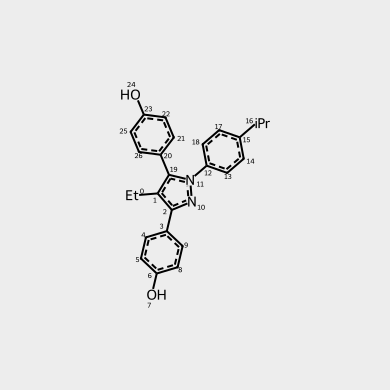 CCc1c(-c2ccc(O)cc2)nn(-c2ccc(C(C)C)cc2)c1-c1ccc(O)cc1